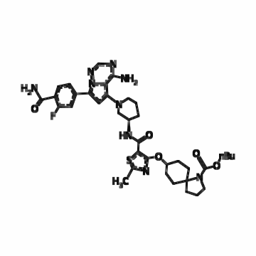 CCCCOC(=O)N1CCCC12CCC(Oc1nc(C)sc1C(=O)N[C@@H]1CCCN(c3cc(-c4ccc(C(N)=O)c(F)c4)n4ncnc(N)c34)C1)CC2